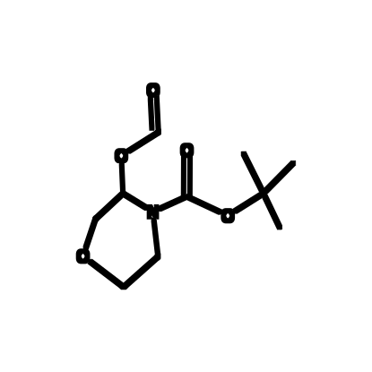 CC(C)(C)OC(=O)N1CCOCC1OC=O